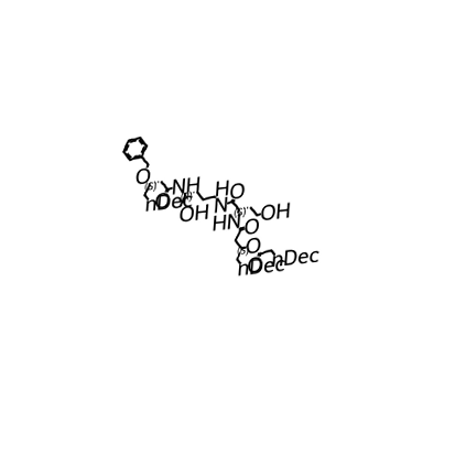 CCCCCCCCCCCC(=O)O[C@@H](CCCCCCCCCCC)CC(=O)N[C@@H](CCO)C(=O)NCCC[C@H](CO)NC(=O)C[C@H](CCCCCCCCCCC)OCc1ccccc1